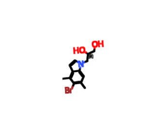 Cc1cc2c(ccn2C[C@@H](O)CO)c(C)c1Br